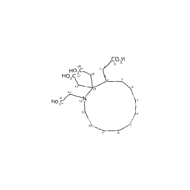 O=C(O)CC1CCCCCCCCCN(CC(=O)O)C1(CC(=O)O)CC(=O)O